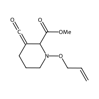 C=CCON1CCCC(=C=O)C1C(=O)OC